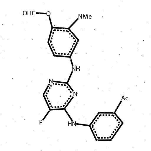 CNc1cc(Nc2ncc(F)c(Nc3cccc(C(C)=O)c3)n2)ccc1OC=O